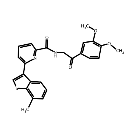 COc1ccc(C(=O)CNC(=O)c2cccc(-c3csc4c(C)cccc34)n2)cc1OC